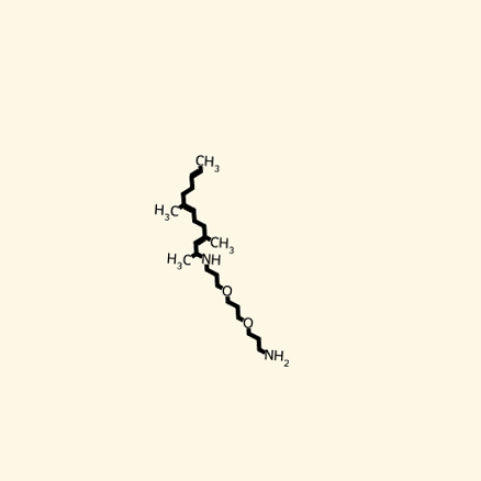 CC=CCCC(C)=CCCC(C)=CC(C)NCCCOCCCOCCCN